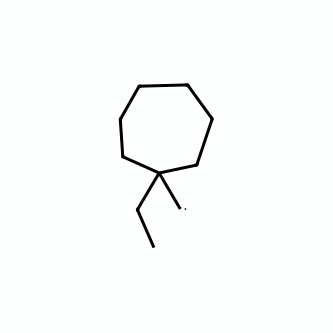 [CH2]C1(CC)CCCCCC1